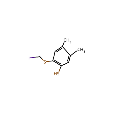 Cc1cc(S)c(SCI)cc1C